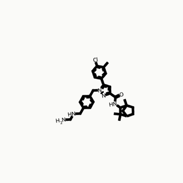 Cc1cc(-c2cc(C(=O)NC3C4(C)CCC(C4)C3(C)C)nn2Cc2ccc(CNCN)cc2)ccc1Cl